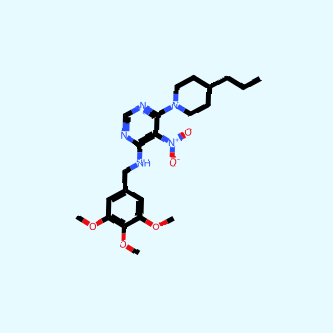 CCCC1CCN(c2ncnc(NCc3cc(OC)c(OC)c(OC)c3)c2[N+](=O)[O-])CC1